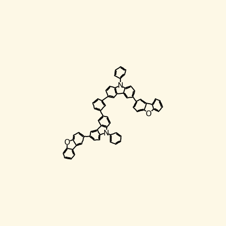 c1ccc(-n2c3ccc(-c4cccc(-c5ccc6c(c5)c5cc(-c7ccc8oc9ccccc9c8c7)ccc5n6-c5ccccc5)c4)cc3c3cc(-c4ccc5oc6ccccc6c5c4)ccc32)cc1